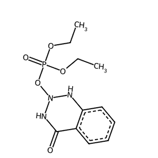 CCOP(=O)(OCC)ON1NC(=O)c2ccccc2N1